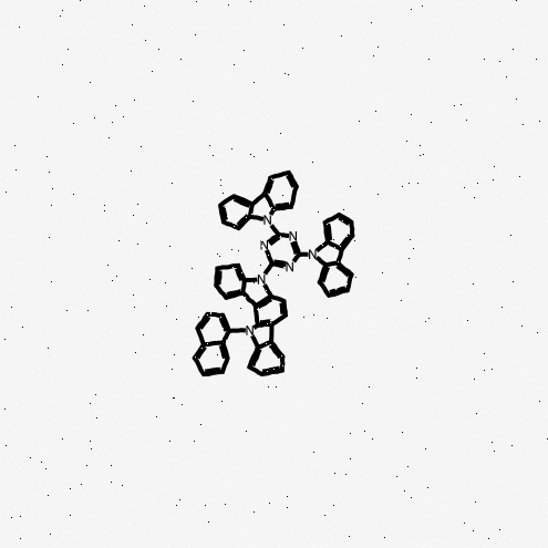 c1ccc2c(-n3c4ccccc4c4ccc5c(c6ccccc6n5-c5nc(-n6c7ccccc7c7ccccc76)nc(-n6c7ccccc7c7ccccc76)n5)c43)cccc2c1